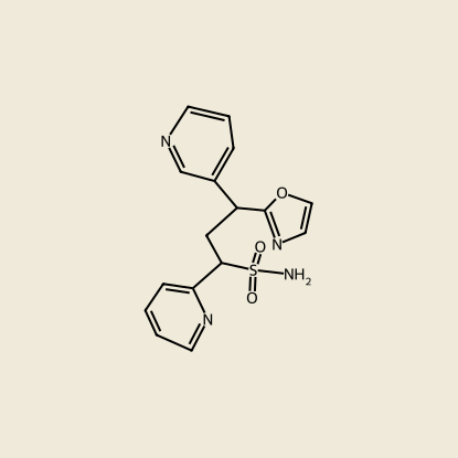 NS(=O)(=O)C(CC(c1cccnc1)c1ncco1)c1ccccn1